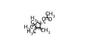 CC(=O)OC[C@H]1CC(C)(C)[C@@H](C)[C@@H]1C